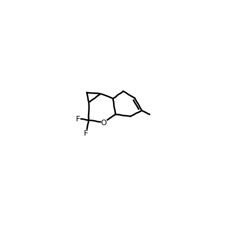 CC1=CCC2C(C1)OC(F)(F)C1CC21